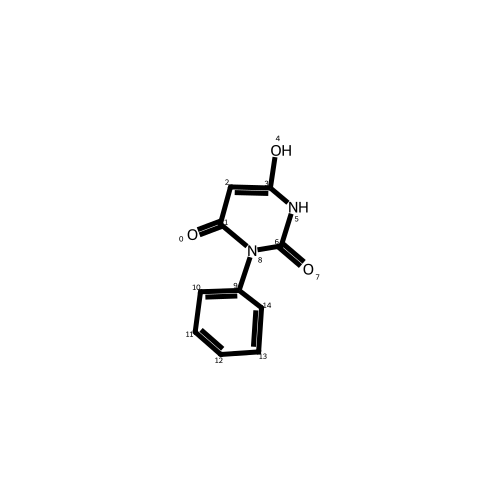 O=c1cc(O)[nH]c(=O)n1-c1ccccc1